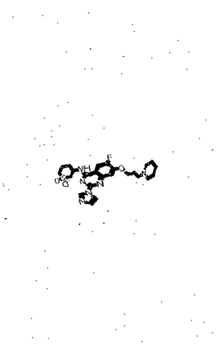 O=S1(=O)CCCC(Nc2nc(-n3ccnc3)nc3cc(OCCCN4CCCCC4)c(F)cc23)C1